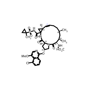 COc1cnc(O[C@@H]2C[C@H]3C(=O)NC4(C(=O)NS(=O)(=O)C5(C)CC5)C[C@H]4/C=C\CC[C@@H](C)C[C@@H](C)[C@H](NC(=O)O)C(=O)N3C2)c2cccc(Cl)c12